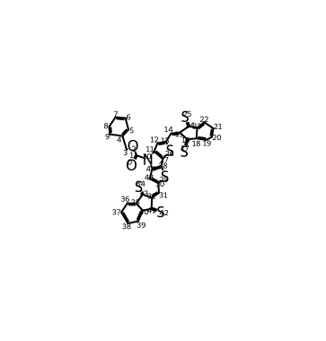 O=C(OCc1ccccc1)n1c2cc(C=C3C(=S)c4ccccc4C3=S)sc2c2sc(C=C3C(=S)c4ccccc4C3=S)cc21